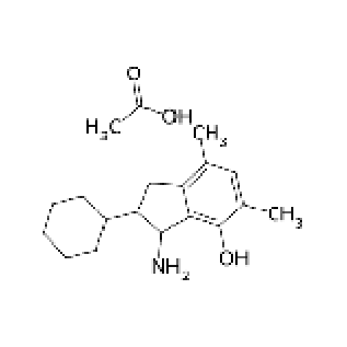 CC(=O)O.Cc1cc(C)c2c(c1O)C(N)C(C1CCCCC1)C2